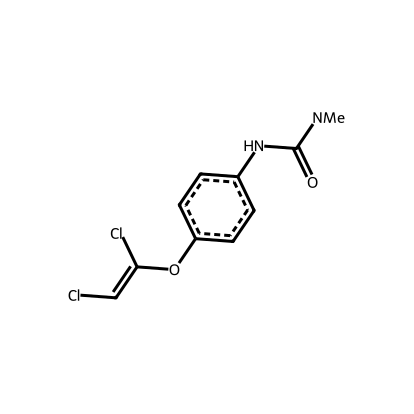 CNC(=O)Nc1ccc(OC(Cl)=CCl)cc1